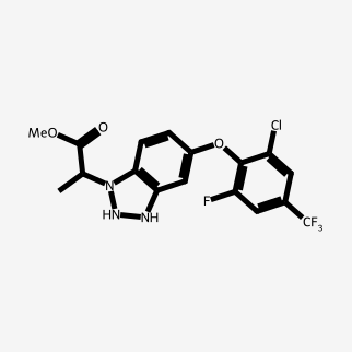 COC(=O)C(C)N1NNc2cc(Oc3c(F)cc(C(F)(F)F)cc3Cl)ccc21